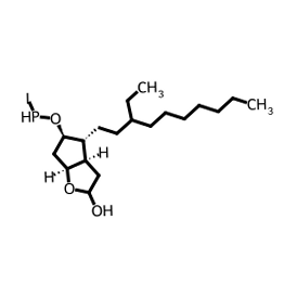 CCCCCCCC(CC)CC[C@@H]1[C@H]2CC(O)O[C@H]2C[C@H]1OPI